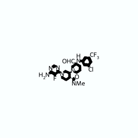 CNC(=O)[C@@H]1CCN(c2ncnc(N)c2F)C[C@H]1N1CCC[C@](C=O)(Nc2cc(Cl)cc(C(F)(F)F)c2)C1